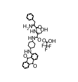 N[C@@H](Cc1ccccc1)C(=O)N[C@@H](CO)C(=O)NC1CCC(Nc2cccc3c2C(=O)c2ccccc2C3=O)CC1.O=C(O)C(F)(F)F